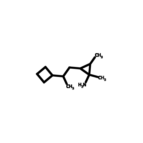 CC(CC1C(C)C1(C)N)C1CCC1